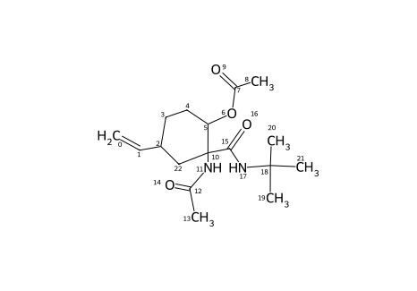 C=CC1CCC(OC(C)=O)C(NC(C)=O)(C(=O)NC(C)(C)C)C1